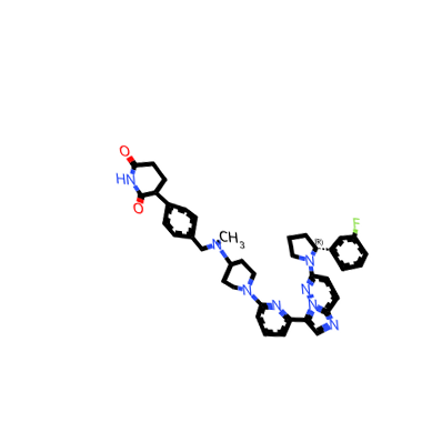 CN(Cc1ccc(C2CCC(=O)NC2=O)cc1)C1CCN(c2cccc(-c3cnc4ccc(N5CCC[C@@H]5c5cccc(F)c5)nn34)n2)CC1